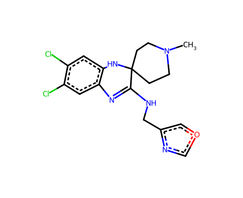 CN1CCC2(CC1)Nc1cc(Cl)c(Cl)cc1N=C2NCc1cocn1